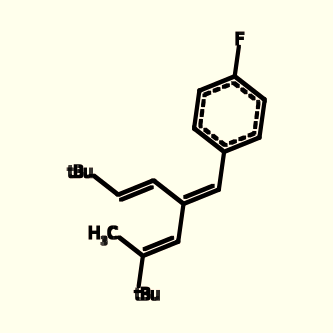 CC(=CC(C=CC(C)(C)C)=Cc1ccc(F)cc1)C(C)(C)C